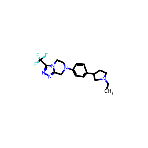 CCN1CCC(c2ccc(N3CCn4c(nnc4C(F)(F)F)C3)cc2)C1